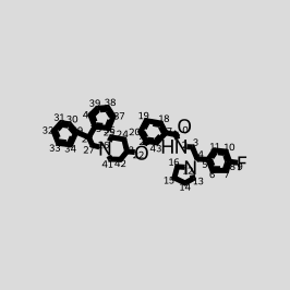 O=C(NCC(c1ccc(F)cc1)N1CCCC1)c1cccc(OC2CCN(CC(c3ccccc3)c3ccccc3)CC2)c1